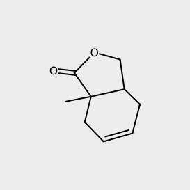 CC12CC=CCC1COC2=O